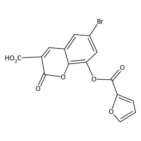 O=C(Oc1cc(Br)cc2cc(C(=O)O)c(=O)oc12)c1ccco1